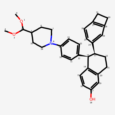 COC(OC)C1CCN(c2ccc([C@@H]3c4ccc(O)cc4CC[C@@H]3c3ccc4c(c3)CC4)cc2)CC1